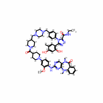 CCOc1cc(N2CCC(C(=O)N3CCC(CN4CCN(Cc5ccc(-n6c(C(=O)NCC(F)(F)F)nnc6-c6cc(C)c(O)cc6O)cc5)CC4)CC3)CC2)ccc1Nc1ncc2c(n1)N(C)c1ccccc1C(=O)N2C